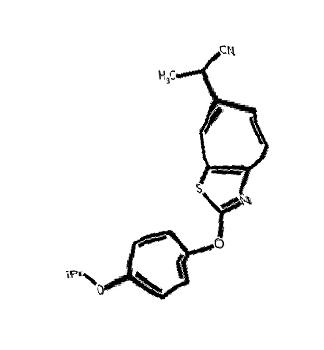 CC(C)Oc1ccc(Oc2nc3ccc(C(C)C#N)cc3s2)cc1